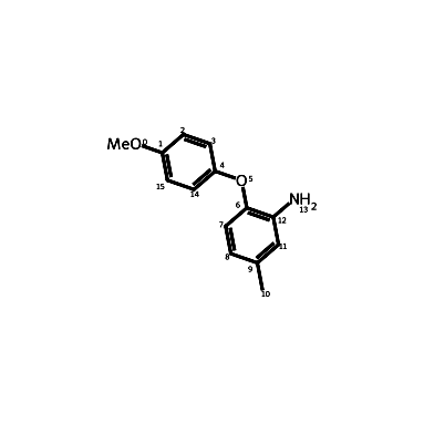 COc1ccc(Oc2ccc(C)cc2N)cc1